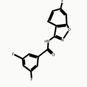 O=C(Nc1noc2cc(F)ccc12)c1cc(F)cc(F)c1